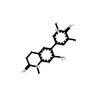 Cc1cc(-c2cc3c(cc2N)N(C)C(=O)CC3)cn(C)c1=O